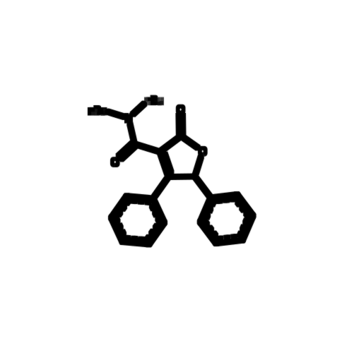 CCCCN(CCCC)C(=O)C1=C(c2ccccc2)C(c2ccccc2)OC1=O